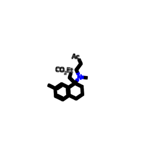 CCOC(=O)CC1(N(C)CCC(C)=O)CCCc2ccc(C)cc21